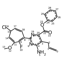 C=CCc1c(N)nc(C2=C(F)C(OC)=CC(Cl)C=C2)nc1C(=O)Oc1ccccc1